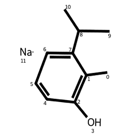 Cc1c(O)cccc1C(C)C.[Na]